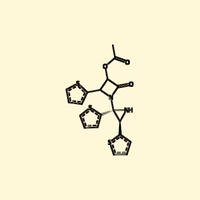 CC(=O)OC1C(=O)N([C@@]2(c3cccs3)N[C@H]2c2cccs2)C1c1cccs1